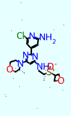 C[C@@H]1COCCN1c1cc(NC[C@@H](C)[S+]([O-])C2COC2)nc(-c2cc(N)nc(Cl)c2)n1